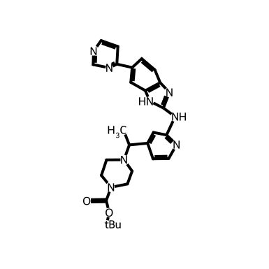 CC(c1ccnc(Nc2nc3ccc(-c4ccncn4)cc3[nH]2)c1)N1CCN(C(=O)OC(C)(C)C)CC1